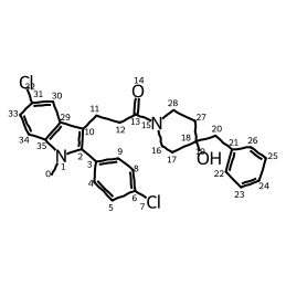 Cn1c(-c2ccc(Cl)cc2)c(CCC(=O)N2CCC(O)(Cc3ccccc3)CC2)c2cc(Cl)ccc21